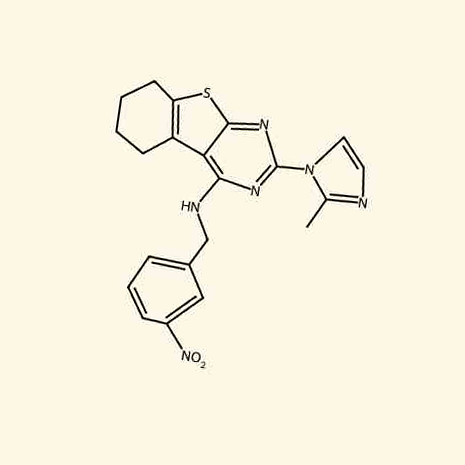 Cc1nccn1-c1nc(NCc2cccc([N+](=O)[O-])c2)c2c3c(sc2n1)CCCC3